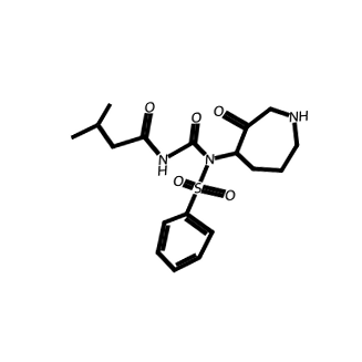 CC(C)CC(=O)NC(=O)N(C1CCCNCC1=O)S(=O)(=O)c1ccccc1